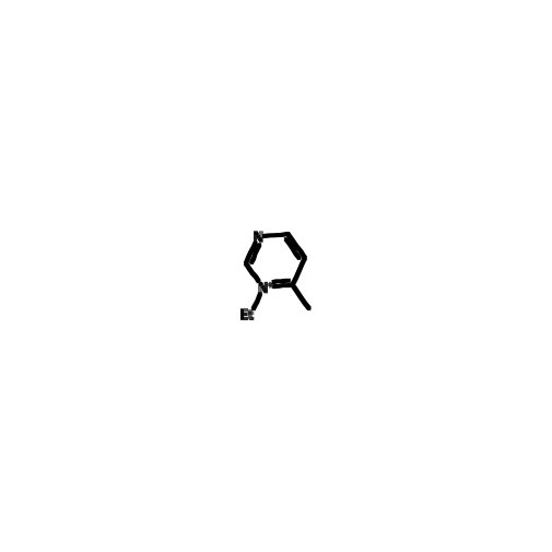 CC[n+]1cnccc1C